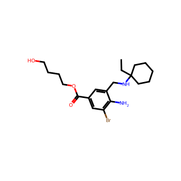 CCC1(NCc2cc(C(=O)OCCCCO)cc(Br)c2N)CCCCC1